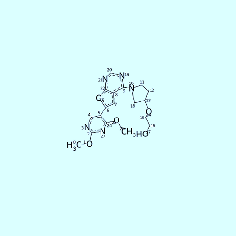 COc1ncc(-c2cc3c(N4CCC(OCCO)C4)ncnc3o2)c(OC)n1